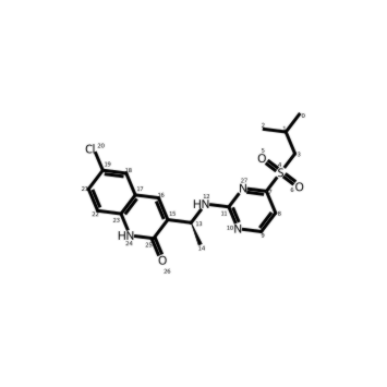 CC(C)CS(=O)(=O)c1ccnc(N[C@@H](C)c2cc3cc(Cl)ccc3[nH]c2=O)n1